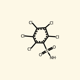 [NH]S(=O)(=O)c1c(Cl)c(Cl)c(Cl)c(Cl)c1Cl